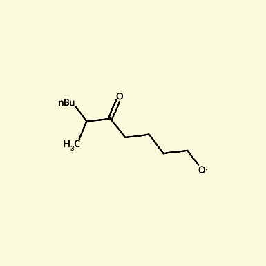 CCCCC(C)C(=O)CCCC[O]